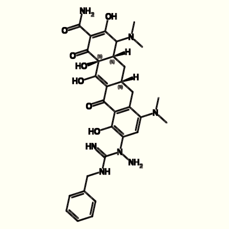 CN(C)c1cc(N(N)C(=N)NCc2ccccc2)c(O)c2c1C[C@H]1C[C@H]3C(N(C)C)C(O)=C(C(N)=O)C(=O)[C@@]3(O)C(O)=C1C2=O